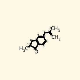 C=C(C)Cc1ccc2c(c1)CC(C)C2=O